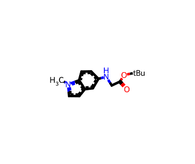 Cn1ccc2cc(NCC(=O)OC(C)(C)C)ccc21